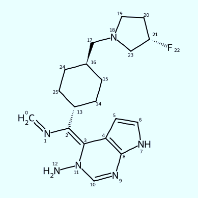 C=N/C(=C1/c2cc[nH]c2N=CN1N)[C@H]1CC[C@H](CN2CC[C@H](F)C2)CC1